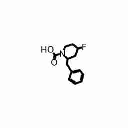 O=C(O)N1CCC(F)CC1Cc1ccccc1